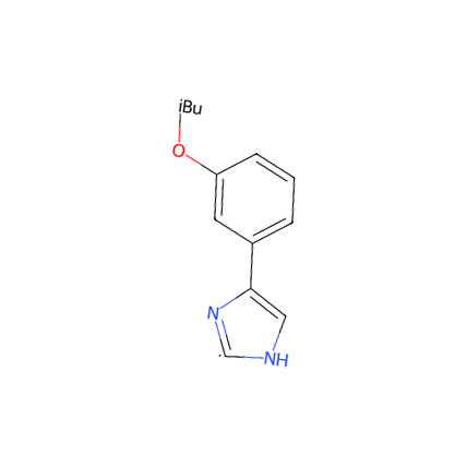 CCC(C)Oc1cccc(-c2c[nH][c]n2)c1